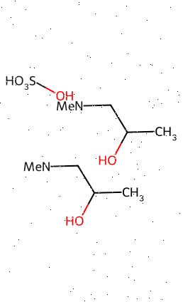 CNCC(C)O.CNCC(C)O.O=S(=O)(O)O